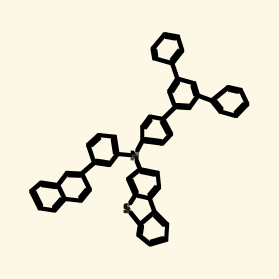 c1ccc(-c2cc(-c3ccccc3)cc(-c3ccc(N(c4cccc(-c5ccc6ccccc6c5)c4)c4ccc5c(c4)sc4ccccc45)cc3)c2)cc1